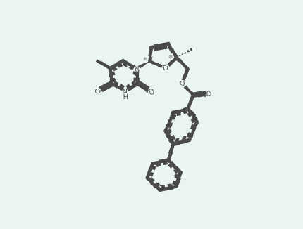 Cc1cn([C@H]2C=C[C@@](C)(COC(=O)c3ccc(-c4ccccc4)cc3)O2)c(=O)[nH]c1=O